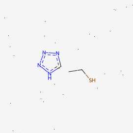 CCS.c1nnn[nH]1